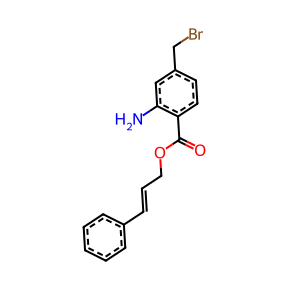 Nc1cc(CBr)ccc1C(=O)OC/C=C/c1ccccc1